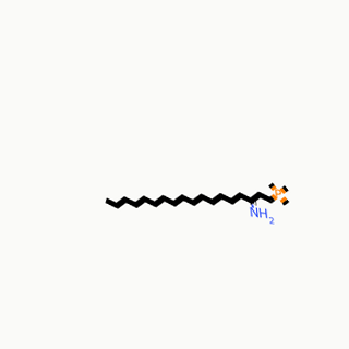 C=P(C)(C)CC[C@H](N)CCCCCCCCCCCCCCC